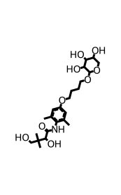 Cc1cc(OCCCCOC2OCC(O)C(O)C2O)cc(C)c1NC(=O)C(O)C(C)(C)CO